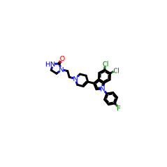 O=C1NCCN1CCN1CC=C(c2cn(-c3ccc(F)cc3)c3cc(Cl)c(Cl)cc23)CC1